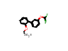 O=C(O)COc1ccccc1-c1cc[c]c(OC(F)F)c1